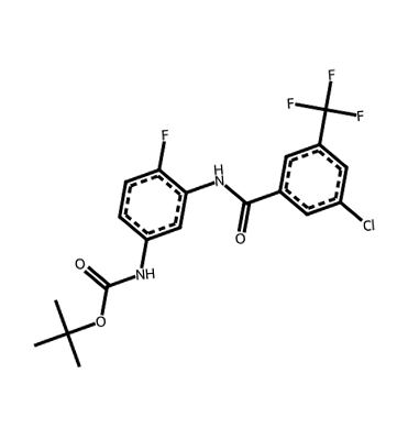 CC(C)(C)OC(=O)Nc1ccc(F)c(NC(=O)c2cc(Cl)cc(C(F)(F)F)c2)c1